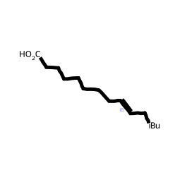 CCC(C)C/C=C/CCCCCCCC(=O)O